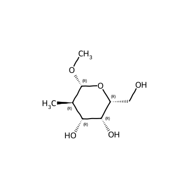 CO[C@@H]1O[C@H](CO)[C@H](O)[C@H](O)[C@H]1C